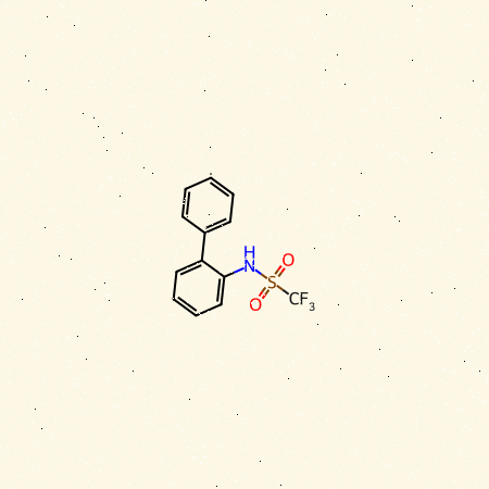 O=S(=O)(Nc1ccccc1-c1cc[c]cc1)C(F)(F)F